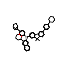 CC1(C)c2ccc(-c3ccc(C4CCCCC4)cc3)cc2-c2ccc(N(c3ccc(C4CC5CCC4C5)cc3)c3cc4ccccc4cc3C3CCCCC3)cc21